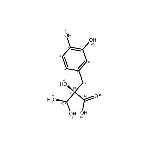 C[C@H](O)[C@](O)(Cc1ccc(O)c(O)c1)C(=O)O